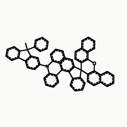 CC1(c2ccccc2)c2ccccc2-c2ccc(N(c3ccccc3)c3ccccc3-c3cccc4c3-c3ccccc3C43c4ccc5ccccc5c4Oc4c3ccc3ccccc43)cc21